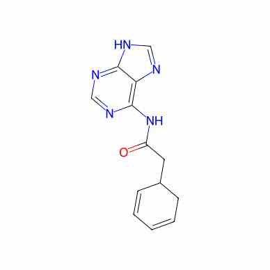 O=C(CC1C=CC=CC1)Nc1ncnc2[nH]cnc12